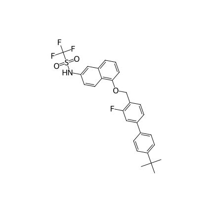 CC(C)(C)c1ccc(-c2ccc(COc3cccc4cc(NS(=O)(=O)C(F)(F)F)ccc34)c(F)c2)cc1